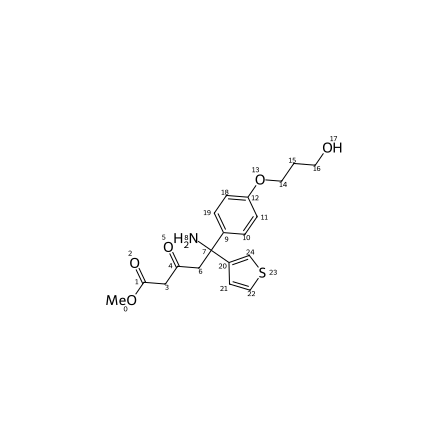 COC(=O)CC(=O)CC(N)(c1ccc(OCCCO)cc1)c1ccsc1